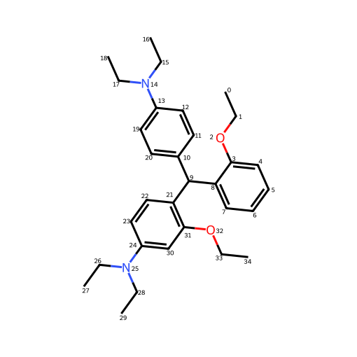 CCOc1ccccc1C(c1ccc(N(CC)CC)cc1)c1ccc(N(CC)CC)cc1OCC